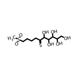 CS(=O)(=O)CCCCC(=S)C(O)C(O)C(O)C(O)CO